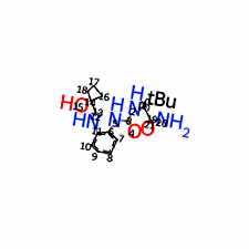 CC(C)(C)[C@H](NC(=O)Nc1ccccc1NCC1(O)CCC1)C(N)=O